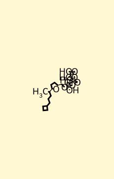 CC(CCCC1CCC1)[C@H]1CC[C@@H](COP(=O)(O)OP(=O)(O)OP(=O)(O)O)O1